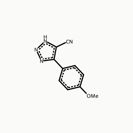 COc1ccc(-c2nn[nH]c2C#N)cc1